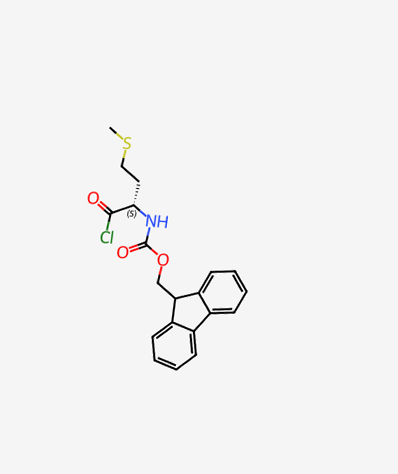 CSCC[C@H](NC(=O)OCC1c2ccccc2-c2ccccc21)C(=O)Cl